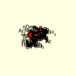 [C-]#[N+]CCOP(OC[C@H]1O[C@@H](n2cnc3c(=O)[nH]c(NC(=O)C(C)C)nc32)[C@@H](O[Si](C)(C)C(C)(C)C)C1OP(=O)(OCC[N+]#[C-])OC[C@H]1O[C@@H](n2cc(C)c(=O)[nH]c2=O)CC1OP(=O)(OCC[N+]#[C-])OC[C@H]1O[C@@H](n2cc(C)c(=O)n(C(=O)c3cc(C)c(C)c(OCCCCCCCCCCCCCCCCCC)c3)c2=O)CC1OC(=O)CCC(C)=O)OC1[C@@H](CO)O[C@@H](n2ccc(NC(C)=O)nc2=O)[C@H]1O[Si](C)(C)C(C)(C)C